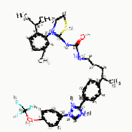 Cc1ccc(C(C)C)c(N2CCS/C2=N\C(=O)NCCCC(C)c2ccc(-c3ncn(-c4ccc(OC(F)(F)F)cc4)n3)cc2)c1